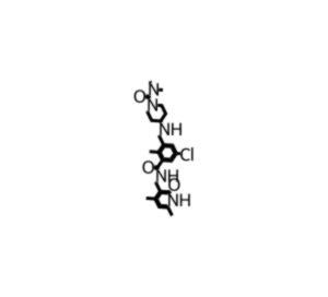 Cc1cc(C)c(CNC(=O)c2cc(Cl)cc(CNC3CCN(C(=O)N(C)C)CC3)c2C)c(=O)[nH]1